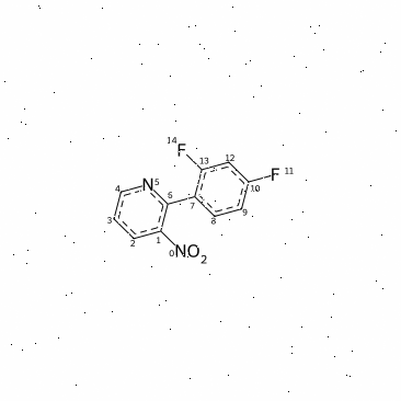 O=[N+]([O-])c1cccnc1-c1ccc(F)cc1F